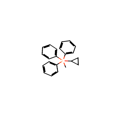 CP(c1ccccc1)(c1ccccc1)(c1ccccc1)C1CC1